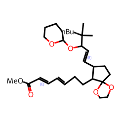 CCCCC(C)(C)C(/C=C/C1CCC2(OCCO2)C1CCC=C/C=C/C(=O)OC)OC1CCCCO1